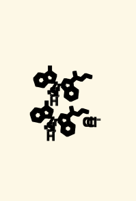 CCCC(C)C1=C[CH]([Zr+]([CH]2C=C(C)c3ccccc32)[SiH](C)C)c2ccccc21.CCCC(C)C1=C[CH]([Zr+]([CH]2C=C(C)c3ccccc32)[SiH](C)C)c2ccccc21.[Cl-].[Cl-]